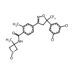 Cc1cc(C2=NOC(c3cc(Cl)cc(Cl)c3)(C(F)(F)F)C2)ccc1C(=O)NC1(C)C[S+]([O-])C1